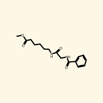 COC(=O)CCCCCNC(=O)CNC(=O)c1ccccc1